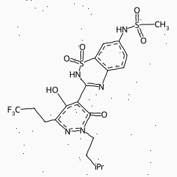 CC(C)CCn1nc(CCC(F)(F)F)c(O)c(C2=Nc3ccc(NS(C)(=O)=O)cc3S(=O)(=O)N2)c1=O